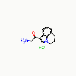 Cl.NCC(=O)c1cn2c3c(cccc13)CCC2